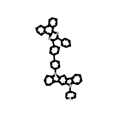 c1ccc(-c2nc3c4ccccc4c4ccccc4c3nc2-c2ccc(-c3ccc(-n4c5ccccc5c5cc6c(cc54)c4ccccc4n6-c4ccccc4)cc3)cc2)cc1